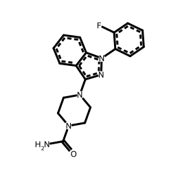 NC(=O)N1CCN(c2nn(-c3ccccc3F)c3ccccc23)CC1